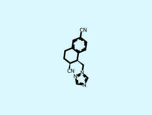 N#Cc1ccc2c(c1)CC[C@H](C#N)[C@@H]2Cn1cncn1